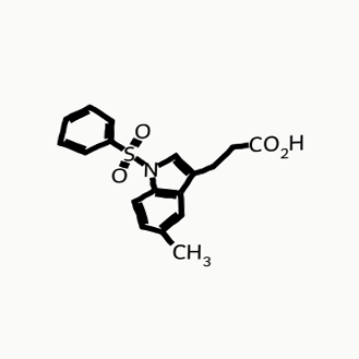 Cc1ccc2c(c1)c(CCC(=O)O)cn2S(=O)(=O)c1ccccc1